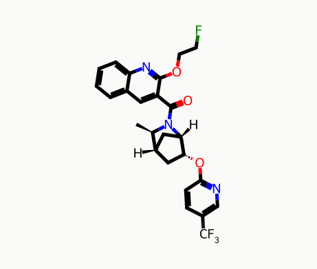 C[C@@H]1[C@H]2C[C@@H](Oc3ccc(C(F)(F)F)cn3)[C@H](C2)N1C(=O)c1cc2ccccc2nc1OCCF